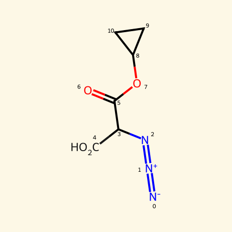 [N-]=[N+]=NC(C(=O)O)C(=O)OC1CC1